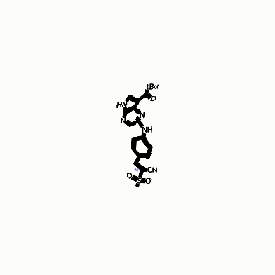 CC(C)(C)C(=O)c1c[nH]c2ncc(Nc3ccc(/C=C(\C#N)S(C)(=O)=O)cc3)nc12